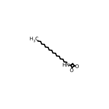 CCCCCCCCCCCCCCCCCNc1cc(=O)c1=O